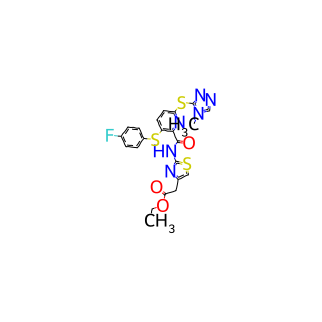 CCOC(=O)Cc1csc(NC(=O)c2nc(Sc3nncn3C)ccc2Sc2ccc(F)cc2)n1